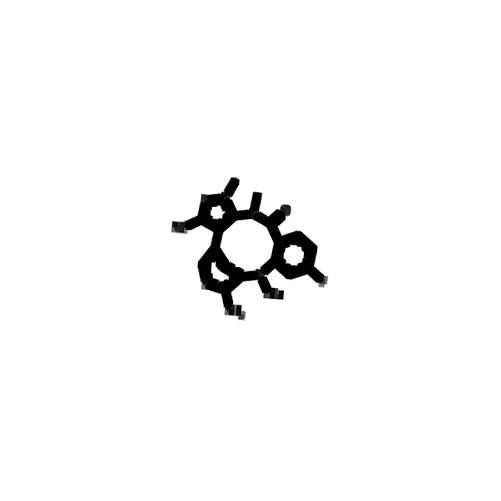 CCCCN1c2cc(F)ccc2C(=O)N(C)c2c(c(C#N)nn2C)-c2cnc(N)c1c2